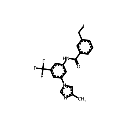 Cc1cn(-c2cc(NC(=O)c3cccc(CI)c3)cc(C(F)(F)F)c2)cn1